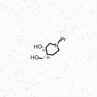 CC(C)N1CC[C@H](CO)[C@H](O)C1